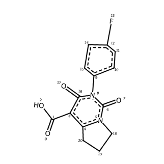 O=C(O)c1c2n(c(=O)n(-c3ccc(F)cc3)c1=O)CCC2